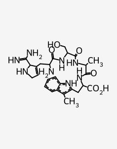 Cc1c(CC(NC(=O)C(C)NC(=O)C(CO)NC(=O)C(N)CC2=CCNC2C(=N)N)C(=O)O)[nH]c2ccccc12